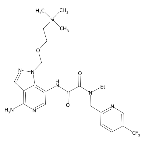 CCN(Cc1ccc(C(F)(F)F)cn1)C(=O)C(=O)Nc1cnc(N)c2cnn(COCC[Si](C)(C)C)c12